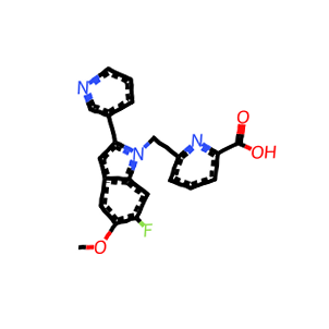 COc1cc2cc(-c3cccnc3)n(Cc3cccc(C(=O)O)n3)c2cc1F